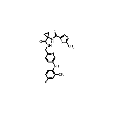 Cc1ncc(C(=O)NC2(C(=O)NCc3ccc(Nc4ccc(F)cc4C(F)(F)F)cn3)CC2)s1